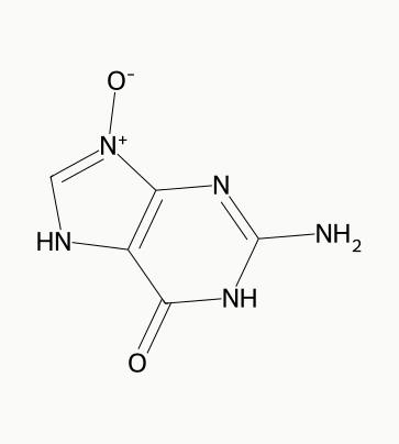 Nc1nc2c([nH]c[n+]2[O-])c(=O)[nH]1